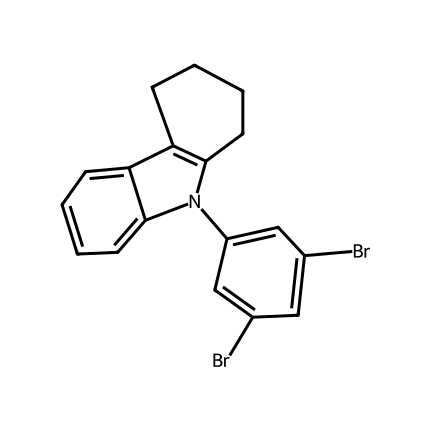 Brc1cc(Br)cc(-n2c3c(c4ccccc42)CCCC3)c1